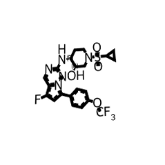 O=S(=O)(C1CC1)N1CC[C@@H](Nc2ncc3c(F)cc(-c4ccc(OC(F)(F)F)cc4)n3n2)[C@H](O)C1